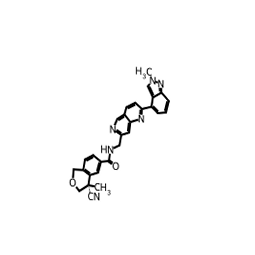 Cn1cc2c(-c3ccc4cnc(CNC(=O)c5ccc6c(c5)[C@](C)(C#N)COC6)cc4n3)cccc2n1